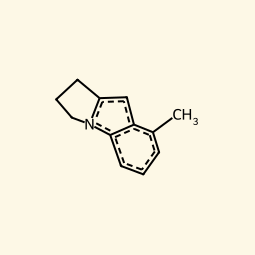 Cc1cccc2c1cc1n2CCC1